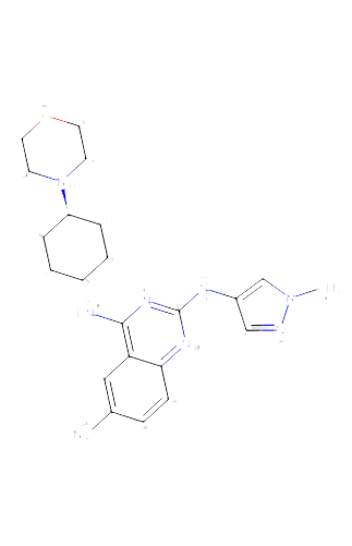 Cn1cc(Nc2nc(N[C@H]3CC[C@H](N4CCOCC4)CC3)c3cc(C#N)ccc3n2)cn1